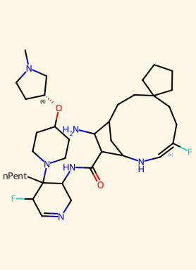 CCCCCC1(N2CCC(O[C@@H]3CCN(C)C3)CC2)C(F)C=NCC1NC(=O)C1C2CC(CCC3(CCCC3)CC/C(F)=C\N2)C1N